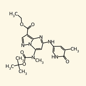 CCOC(=O)c1cnn2c(N(C)C(=O)OC(C)(C)C)cc(Nc3c[nH]c(=O)c(C)c3)nc12